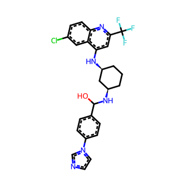 OC(N[C@@H]1CCC[C@H](Nc2cc(C(F)(F)F)nc3ccc(Cl)cc23)C1)c1ccc(-n2ccnc2)cc1